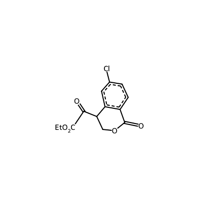 CCOC(=O)C(=O)C1COC(=O)c2ccc(Cl)cc21